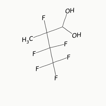 CC(F)(C(O)O)C(F)(F)C(F)(F)F